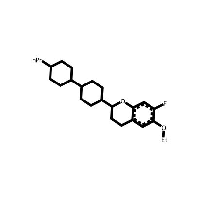 CCCC1CCC(C2CCC(C3CCc4cc(OCC)c(F)cc4O3)CC2)CC1